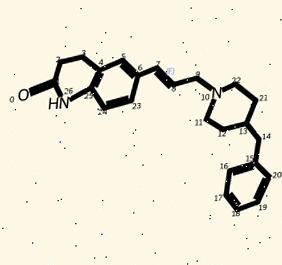 O=C1CCc2cc(/C=C/CN3CCC(Cc4ccccc4)CC3)ccc2N1